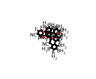 Bc1c(B)c(B)c(-c2c(F)c(F)c(C#N)c(F)c2F)c(C(C#N)=C2C(=C(C#N)c3c(B)c(B)c(B)c(B)c3-c3c(F)c(F)c(C#N)c(F)c3F)C2=C(C#N)c2c(B)c(B)c(B)c(B)c2-c2c(F)c(F)c(C#N)c(F)c2F)c1B